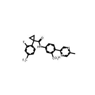 Cc1cnc(-c2ccc(NC(=O)C3(c4ccc(C(F)(F)F)cc4F)CC3)cc2C(=O)O)cn1